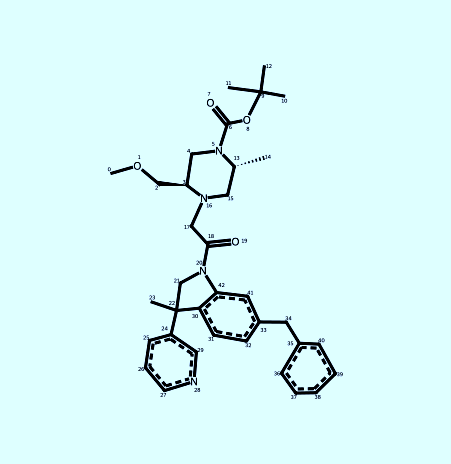 COC[C@H]1CN(C(=O)OC(C)(C)C)[C@H](C)CN1CC(=O)N1CC(C)(c2cccnc2)c2ccc(Cc3ccccc3)cc21